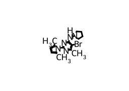 Cc1nc(-n2c(C)ccc2C)nc(NN2CCCC2)c1Br